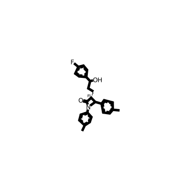 Cc1ccc(C2[C@@H](CCC(O)c3ccc(F)cc3)C(=O)N2c2ccc(C)cc2)cc1